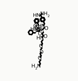 N=C(N)c1ccc(CNC(=O)[C@H](CCC(=O)NCCCOCCOCCOCCCN)NC(=O)[C@@H](CC2CCCCC2)NS(=O)(=O)Cc2ccccc2)cc1